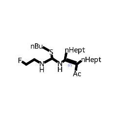 CCCCCCC/C(NC(NCCF)SCCCC)=C(\CCCCCCC)C(C)=O